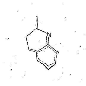 O=C1CC=c2cccnc2=N1